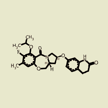 Cc1cc2c(c(OC(C)C)c1F)C(=O)N1C[C@@H](Oc3ccc4c(c3)NC(=O)CC4)C[C@@H]1CO2